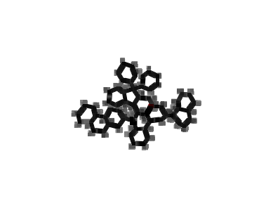 c1ccc(C2(c3ccccc3)c3ccccc3-c3c(N(c4ccc5c(ccc6ccccc65)c4)c4ccccc4-c4cccc(-c5cccc6ccccc56)c4)cccc32)cc1